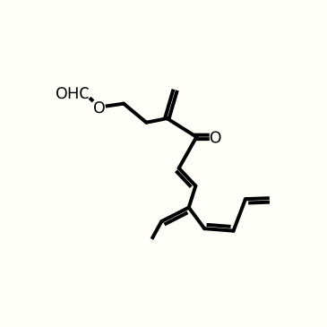 C=C\C=C/C(/C=C/C(=O)C(=C)CCOC=O)=C\C